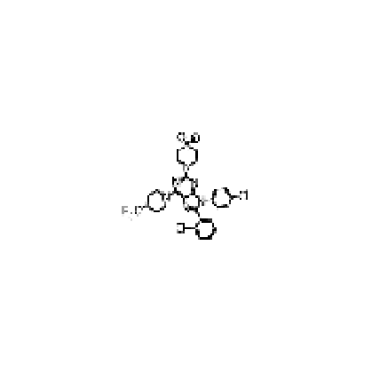 O=S1(=O)CCN(c2nc(N3CCC(C(F)(F)F)CC3)c3nc(-c4ccccc4Cl)n(-c4ccc(Cl)cc4)c3n2)CC1